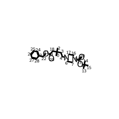 CC(C)(CCN1CCN(C(=O)OC(C)(C)C)CC1)CC(=O)OCc1ccccc1